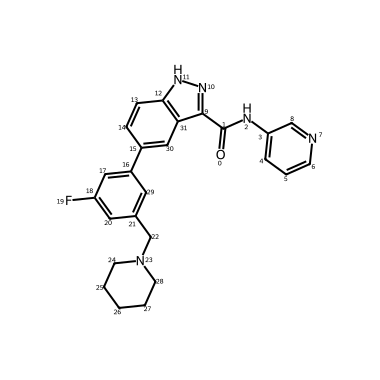 O=C(Nc1cccnc1)c1n[nH]c2ccc(-c3cc(F)cc(CN4CCCCC4)c3)cc12